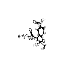 CNC(=O)C1=CC(C)(CF)Oc2ccc([N+](=O)[O-])cc21